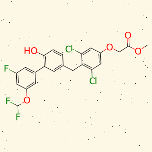 COC(=O)COc1cc(Cl)c(Cc2ccc(O)c(-c3cc(F)cc(OC(F)F)c3)c2)c(Cl)c1